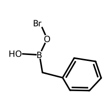 OB(Cc1ccccc1)OBr